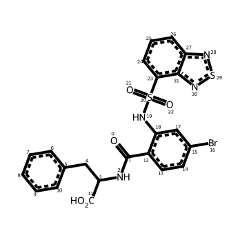 O=C(NC(Cc1ccccc1)C(=O)O)c1ccc(Br)cc1NS(=O)(=O)c1cccc2nsnc12